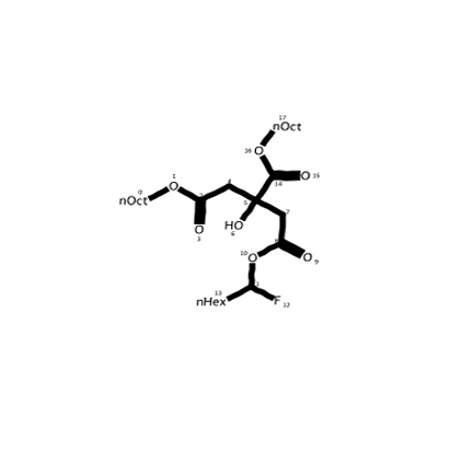 CCCCCCCCOC(=O)CC(O)(CC(=O)OC(F)CCCCCC)C(=O)OCCCCCCCC